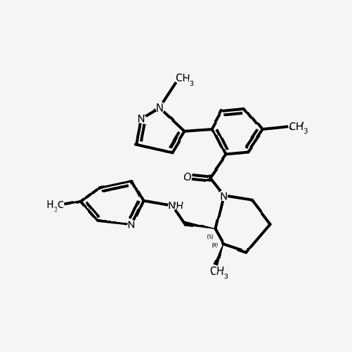 Cc1ccc(NC[C@@H]2[C@H](C)CCCN2C(=O)c2cc(C)ccc2-c2ccnn2C)nc1